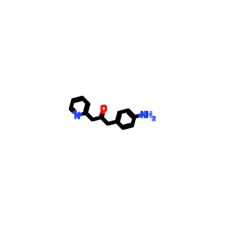 Nc1ccc(CC(=O)Cc2ccccn2)cc1